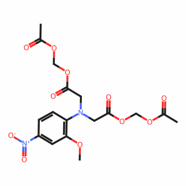 COc1cc([N+](=O)[O-])ccc1N(CC(=O)OCOC(C)=O)CC(=O)OCOC(C)=O